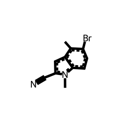 Cc1c(Br)ccc2c1cc(C#N)n2C